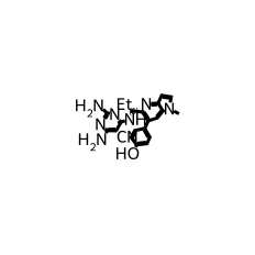 CC[C@H](Nc1nc(N)nc(N)c1C#N)c1nc2ccn(C)c2cc1-c1ccc(O)cc1